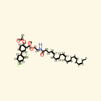 CC/C=C\C/C=C\C/C=C\C/C=C\C/C=C\C/C=C\CCC(=O)NCCOC(=O)c1cc(-c2ccc(F)cc2F)ccc1OC(C)=O